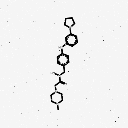 CN1CCN(CC(=O)N(O)Cc2ccc(Nc3cccc(N4CCCC4)c3)cc2)CC1